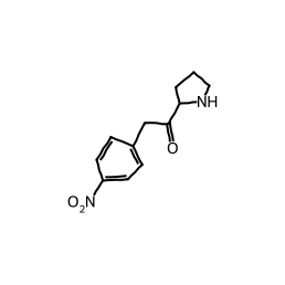 O=C(Cc1ccc([N+](=O)[O-])cc1)C1CCCN1